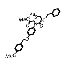 COC(=O)CN(C(=O)[C@@H](CCc1ccccc1)CSC(C)=O)c1ccc(OCc2ccc(OC)cc2)cc1